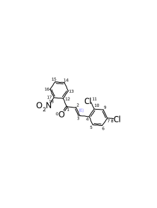 O=C(/C=C/c1ccc(Cl)cc1Cl)c1ccccc1[N+](=O)[O-]